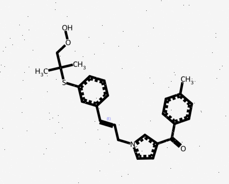 Cc1ccc(C(=O)c2ccn(C/C=C/c3cccc(SC(C)(C)COO)c3)c2)cc1